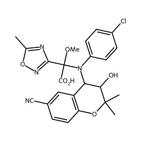 COC(C(=O)O)(c1noc(C)n1)N(c1ccc(Cl)cc1)C1c2cc(C#N)ccc2OC(C)(C)C1O